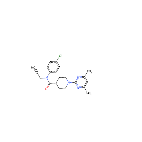 C#CCN(C(=O)C1CCN(c2nc(C)cc(C)n2)CC1)c1ccc(Cl)cc1